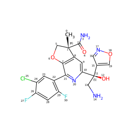 C[C@]1(C(N)=O)COc2c1cc([C@@](O)(CN)c1cnoc1)nc2-c1cc(Cl)c(F)cc1F